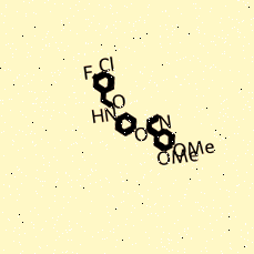 COc1cc2nccc(Oc3ccc(NC(=O)Cc4ccc(Cl)c(F)c4)cc3)c2cc1OC